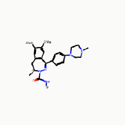 CCNC(=O)N1N=C(c2ccc(N3CCN(C)CC3)cc2)c2cc(OC)c(OC)cc2C[C@@H]1C